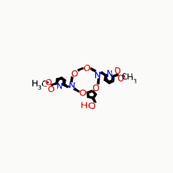 COC(=O)c1cccc(CN2CCOCCOCCN(Cc3cccc(C(=O)OC)n3)CCOC3CC(CO)CC3OCC2)n1